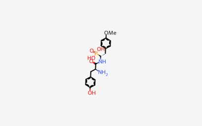 COc1ccc(C[C@H](NC(=O)[C@@H](N)Cc2ccc(O)cc2)P(=O)(O)O)cc1